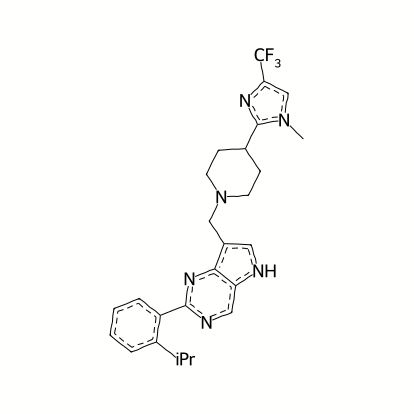 CC(C)c1ccccc1-c1ncc2[nH]cc(CN3CCC(c4nc(C(F)(F)F)cn4C)CC3)c2n1